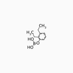 CCc1cccc(OB(O)O)c1CC